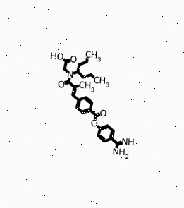 CCCC(CCC)N(CC(=O)O)C(=O)/C(C)=C/c1ccc(C(=O)Oc2ccc(C(=N)N)cc2)cc1